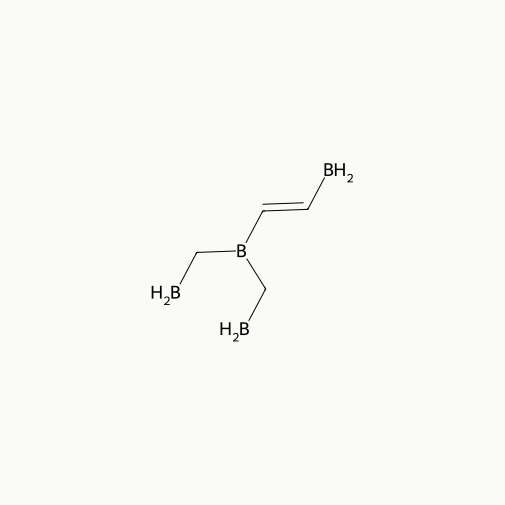 B/C=C/B(CB)CB